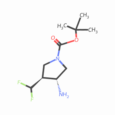 CC(C)(C)OC(=O)N1C[C@H](C(F)F)[C@@H](N)C1